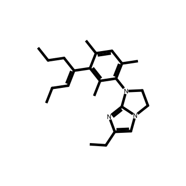 CCC=C(CCC)c1c(C)cc(C)c(N2CCn3cc(CC)nc32)c1C